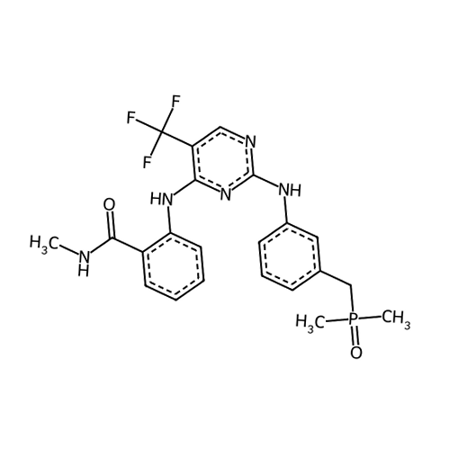 CNC(=O)c1ccccc1Nc1nc(Nc2cccc(CP(C)(C)=O)c2)ncc1C(F)(F)F